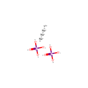 O=P([O-])([O-])[O-].O=P([O-])([O-])[O-].[Na+].[Na+].[Na+].[Y+3]